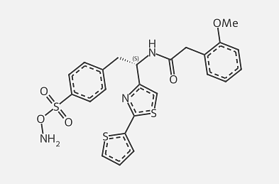 COc1ccccc1CC(=O)N[C@@H](Cc1ccc(S(=O)(=O)ON)cc1)c1csc(-c2cccs2)n1